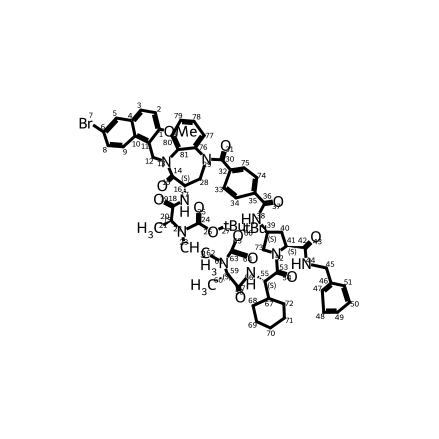 COc1ccc2cc(Br)ccc2c1CN1C(=O)[C@@H](NC(=O)[C@H](C)N(C)C(=O)OC(C)(C)C)CN(C(=O)c2ccc(C(=O)N[C@H]3C[C@@H](C(=O)NCc4ccccc4)N(C(=O)[C@@H](NC(=O)[C@H](C)N(C)C(=O)OC(C)(C)C)C4CCCCC4)C3)cc2)c2ccccc21